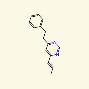 C/C=C/c1cc(CCc2ccccc2)ncn1